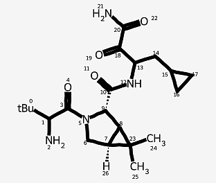 CC(C)(C)C(N)C(=O)N1C[C@H]2C([C@H]1C(=O)NC(CC1CC1)C(=O)C(N)=O)C2(C)C